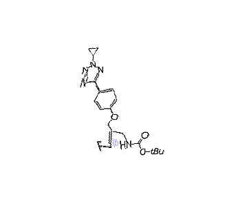 CC(C)(C)OC(=O)NC/C(=C/F)COc1ccc(-c2nnn(C3CC3)n2)cc1